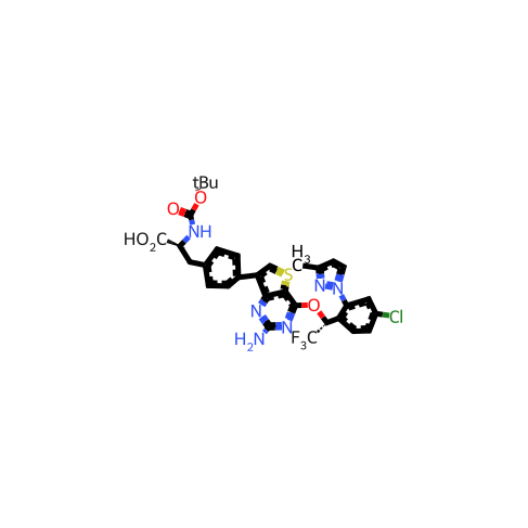 Cc1ccn(-c2cc(Cl)ccc2[C@@H](Oc2nc(N)nc3c(-c4ccc(C[C@H](NC(=O)OC(C)(C)C)C(=O)O)cc4)csc23)C(F)(F)F)n1